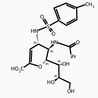 Cc1ccc(S(=O)(=O)N[C@H]2C=C(C(=O)O)O[C@@H]([C@H](O)[C@H](O)CO)[C@@H]2NC(=O)C(C)C)cc1